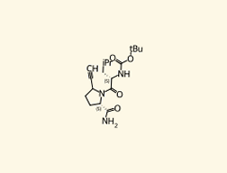 C#CC1CC[C@@H](C(N)=O)N1C(=O)[C@H](CC(C)C)NC(=O)OC(C)(C)C